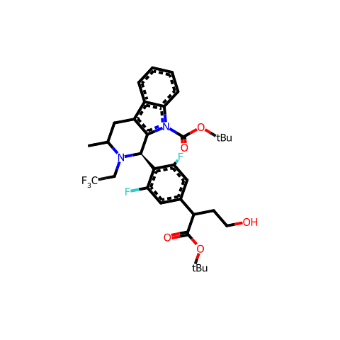 CC1Cc2c(n(C(=O)OC(C)(C)C)c3ccccc23)[C@@H](c2c(F)cc(C(CCO)C(=O)OC(C)(C)C)cc2F)N1CC(F)(F)F